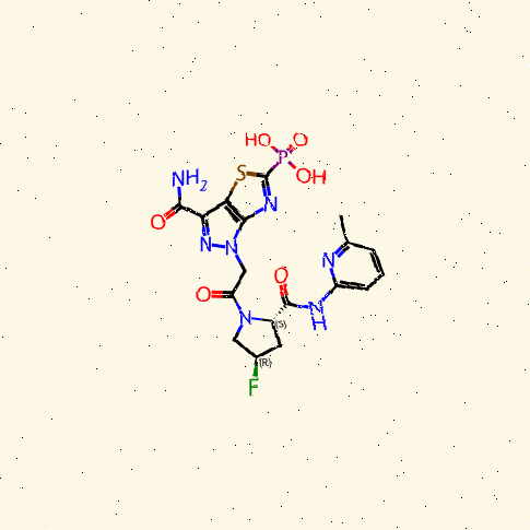 Cc1cccc(NC(=O)[C@@H]2C[C@@H](F)CN2C(=O)Cn2nc(C(N)=O)c3sc(P(=O)(O)O)nc32)n1